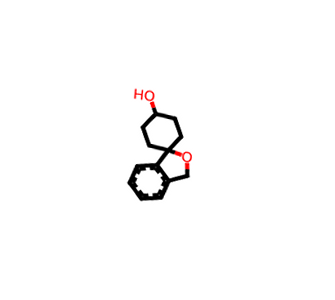 OC1CCC2(CC1)OCc1ccccc12